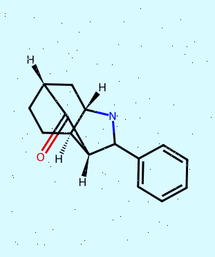 O=C1[C@@H]2CC[C@H]3[C@H](C2)[N]C(c2ccccc2)[C@@H]13